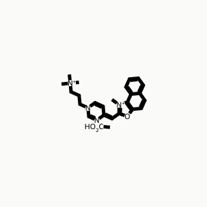 CC(=O)O.C[n+]1c(C=C2C=CN(CCC[N+](C)(C)C)C=N2)oc2ccc3ccccc3c21